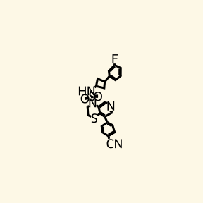 N#Cc1ccc(-c2cncc3c2SCCN3S(=O)(=O)NC2CC(c3cccc(F)c3)C2)cc1